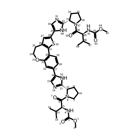 COC(=O)N[C@H](C(=O)N1CCC[C@H]1c1ncc(-c2ccc3c(c2)OCCc2cc(-c4cnc([C@@H]5CCCN5C(=O)[C@@H](NC(=O)OC)C(C)C)[nH]4)sc2-3)[nH]1)C(C)C